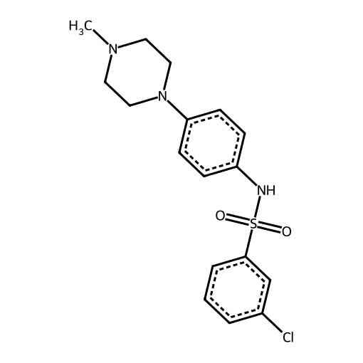 CN1CCN(c2ccc(NS(=O)(=O)c3cccc(Cl)c3)cc2)CC1